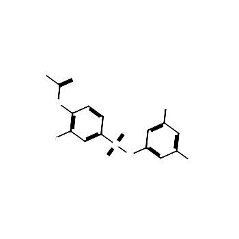 CC(=O)Nc1ccc(S(=O)(=O)Oc2cc(Cl)cc(Cl)c2)cc1N